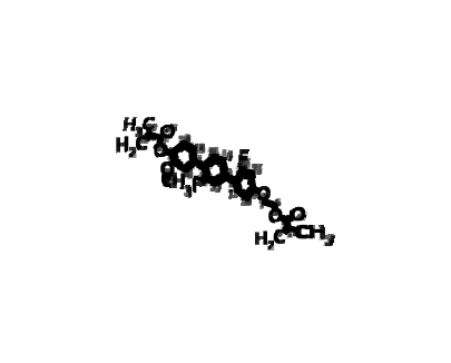 C=C(C)C(=O)OCCOc1ccc(-c2ccc(-c3ccc(OC(=O)C(=C)C)c(OC)c3)c(F)c2)c(F)c1